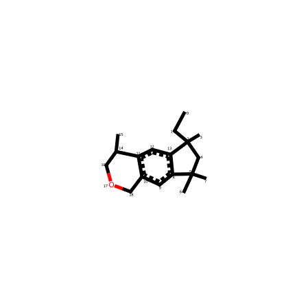 CCC1(C)CC(C)(C)c2cc3c(cc21)C(C)COC3